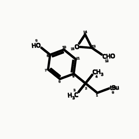 CC(C)(C)CC(C)(C)c1ccc(O)cc1.O=CC1CO1